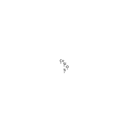 [Co].[O].[Si].[Ti]